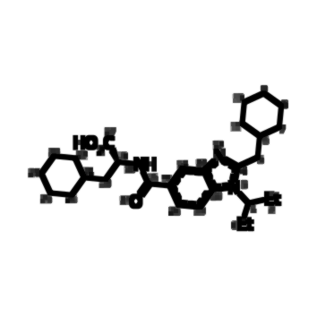 CCC(CC)n1c(CC2CCCCC2)nc2cc(C(=O)N[C@@H](CC3CCCCC3)C(=O)O)ccc21